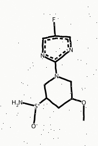 COC1CC([S+](N)[O-])CN(c2ncc(F)cn2)C1